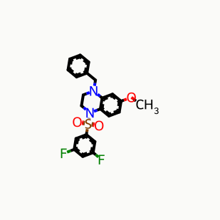 COc1ccc2c(c1)N(Cc1ccccc1)CCN2S(=O)(=O)c1cc(F)cc(F)c1